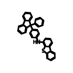 c1ccc(C2(c3ccc(Nc4cccc5c4sc4ccccc45)cc3)c3ccccc3-c3ccccc32)cc1